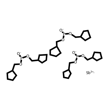 [O-]P(OCC1CCCC1)OCC1CCCC1.[O-]P(OCC1CCCC1)OCC1CCCC1.[O-]P(OCC1CCCC1)OCC1CCCC1.[Sb+3]